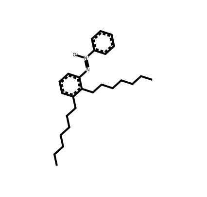 CCCCCCCc1cccc(N=[N+]([O-])c2ccccc2)c1CCCCCCC